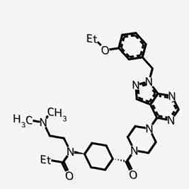 CCOc1cccc(Cn2ncc3c(N4CCN(C(=O)[C@H]5CC[C@H](N(CCN(C)C)C(=O)CC)CC5)CC4)ncnc32)c1